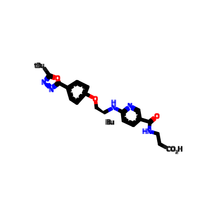 CC[C@H](C)[C@@H](COc1ccc(-c2nnc(C(C)(C)C)o2)cc1)Nc1ccc(C(=O)NCCC(=O)O)cn1